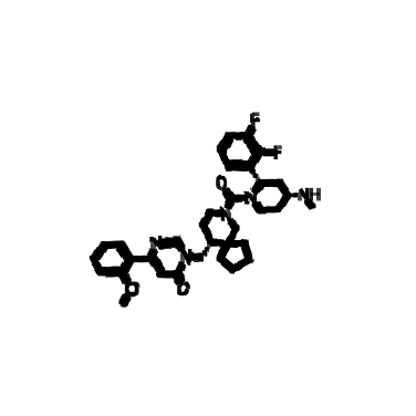 CN[C@@H]1CCN(C(=O)N2CC[C@@H](Cn3cnc(-c4ccccc4OC)cc3=O)C3(CCCC3)C2)[C@H](c2cccc(F)c2F)C1